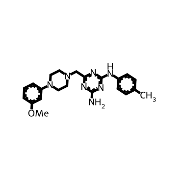 COc1cccc(N2CCN(Cc3nc(N)nc(Nc4ccc(C)cc4)n3)CC2)c1